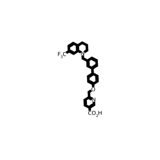 O=C(O)c1ccc(COc2ccc(-c3cccc(CN4CCCc5ccc(C(F)(F)F)cc54)c3)cc2)nc1